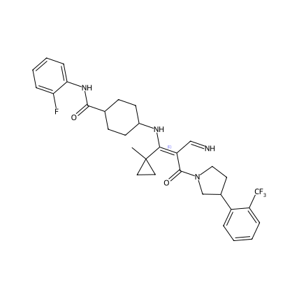 CC1(/C(NC2CCC(C(=O)Nc3ccccc3F)CC2)=C(/C=N)C(=O)N2CCC(c3ccccc3C(F)(F)F)C2)CC1